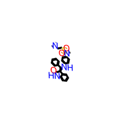 CN(C)CCS(=O)(=O)N(C)c1ccc(NC(=C2C(=O)Nc3ccccc32)c2ccccc2)cc1